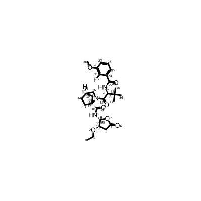 CCO[C@H]1CC(=O)O[C@H]1NC(=O)[C@@]12CC[C@@H](CN1C(=O)[C@@H](NC(=O)c1cccc(OC)c1F)C(C)(C)C)C2